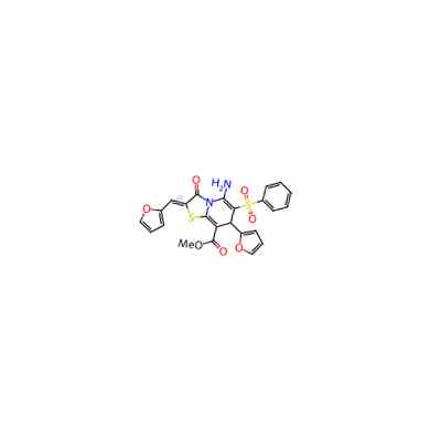 COC(=O)C1=c2s/c(=C\c3ccco3)c(=O)n2C(N)=C(S(=O)(=O)c2ccccc2)C1c1ccco1